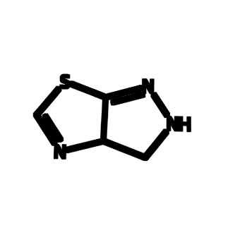 C1=NC2CNN=C2S1